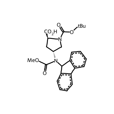 COC(=O)N(C1c2ccccc2-c2ccccc21)[C@@H]1C[C@@H](C(=O)O)N(C(=O)OC(C)(C)C)C1